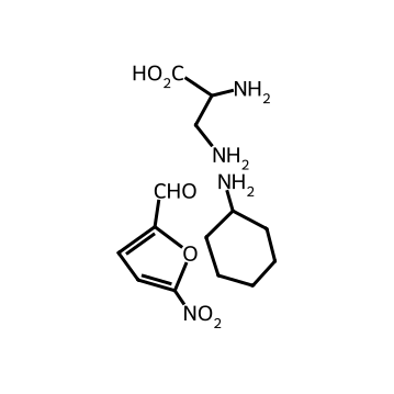 NC1CCCCC1.NCC(N)C(=O)O.O=Cc1ccc([N+](=O)[O-])o1